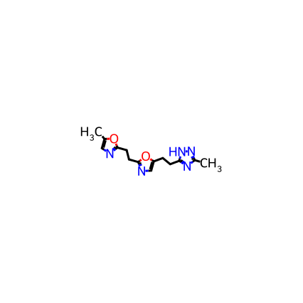 Cc1n[nH]c(CCc2cnc(CCc3ncc(C)o3)o2)n1